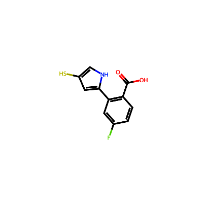 O=C(O)c1ccc(F)cc1-c1cc(S)c[nH]1